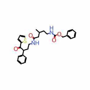 CC(CCNC(=O)OCc1ccccc1)CC(=O)NCCC(C(=O)c1cccs1)c1ccccc1